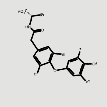 CC(C)c1cc(Oc2c(Br)cc(CC(=O)N[C@H](C(=O)O)C(C)C)cc2Br)cc(F)c1O